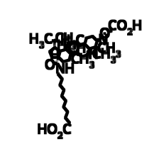 C=C(C)[C@@H]1CC[C@]2(C(=O)NCCCCCCCCCCC(=O)O)CC[C@]3(C)[C@H](CCC4[C@@]5(C)CCC(=NOCC(=O)O)C(C)(C)[C@@H]5CC[C@]43C)[C@@H]12